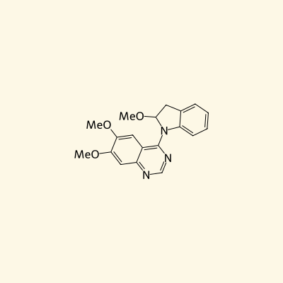 COc1cc2ncnc(N3c4ccccc4CC3OC)c2cc1OC